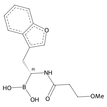 COCCC(=O)N[C@@H](Cc1coc2ccccc12)B(O)O